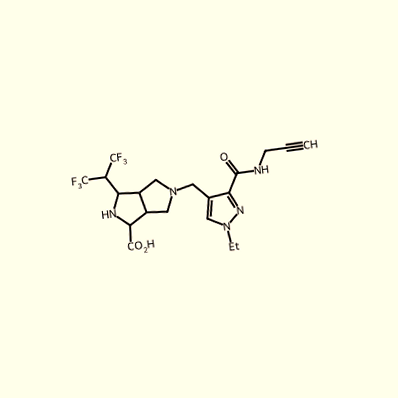 C#CCNC(=O)c1nn(CC)cc1CN1CC2C(C(=O)O)NC(C(C(F)(F)F)C(F)(F)F)C2C1